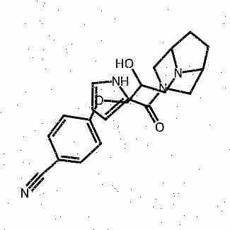 N#Cc1ccc(OCC(O)CN2C3CCC2CN(C(=O)c2ccc[nH]2)C3)cc1